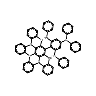 B1c2ccccc2N2c3ccccc3B3c4ccccc4N4c5ccccc5Bc5c(-c6c(Nc7ccccc7)cc(N(c7ccccc7)c7ccccc7)cc6Nc6ccccc6)c1c2c3c54